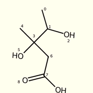 CC(O)C(C)(O)CC(=O)O